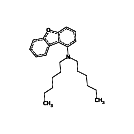 CCCCCCN(CCCCCC)c1cccc2oc3ccccc3c12